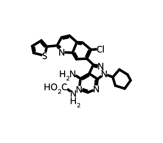 NC(=O)O.Nc1ncnc2c1c(-c1cc3nc(-c4cccs4)ccc3cc1Cl)nn2C1CCCCC1